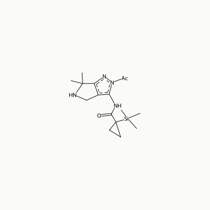 CC(=O)n1nc2c(c1NC(=O)C1([Si](C)(C)C)CC1)CNC2(C)C